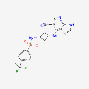 N#Cc1cnc2[nH]ccc2c1N[C@H]1C[C@@H](NS(=O)(=O)c2ccc(C(F)(F)F)cc2)C1